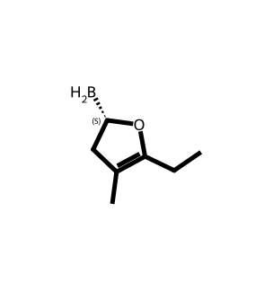 B[C@H]1CC(C)=C(CC)O1